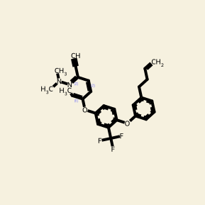 C#CC(/C=C\C(=C/C)Oc1ccc(Oc2cccc(CCC=C)c2)c(C(F)(F)F)c1)=N\N(C)C